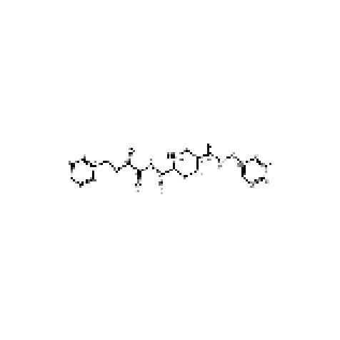 O=C(OCc1ccccc1)C(=O)OC(=O)[C@@H]1CC[C@H](NOCc2ccccc2)CN1